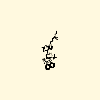 CCOC(=O)CCCn1ccc2c(NCC(NS(=O)(=O)c3cccc4ccccc34)C(=O)OC(C)(C)C)nc(C)nc21